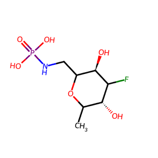 CC1OC(CNP(=O)(O)O)[C@@H](O)C(F)[C@@H]1O